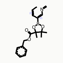 C=N/C=C(\C=C/C)B1OC(C)(C)C(C)(C(=O)OCc2ccccc2)O1